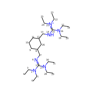 CCN(CC)C(=NCC1CCCC(CNC(N(CC)CC)=[N+](CC)CC)C1)N(CC)CC